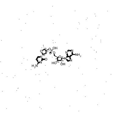 C[C@H]1O[C@@H](n2ccc(N)nc2=O)C[C@@H]1OP(=O)(O)OC[C@H]1O[C@@H](n2cnc3c(N)ncnc32)[C@H](O)[C@H]1O